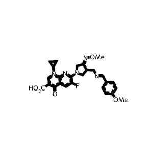 CON=C1CN(c2nc3c(cc2F)c(=O)c(C(=O)O)cn3C2CC2)CC1CN=Cc1ccc(OC)cc1